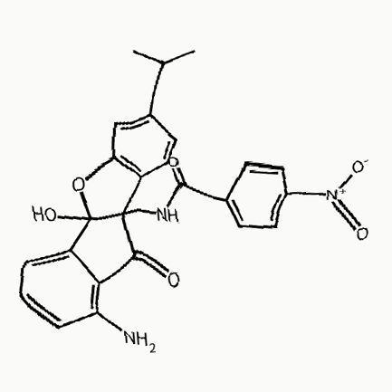 CC(C)c1ccc2c(c1)OC1(O)c3cccc(N)c3C(=O)C21NC(=O)c1ccc([N+](=O)[O-])cc1